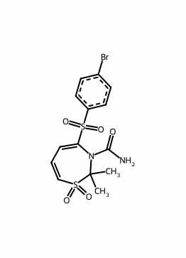 CC1(C)N(C(N)=O)C(S(=O)(=O)c2ccc(Br)cc2)=CC=CS1(=O)=O